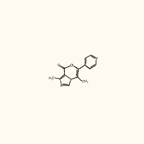 Cc1ncn2c(C)c(-c3ccncc3)oc(=O)c12